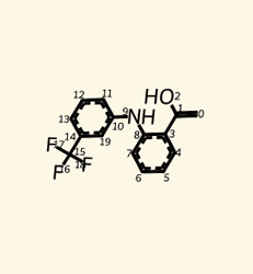 C=C(O)c1ccccc1Nc1cccc(C(F)(F)F)c1